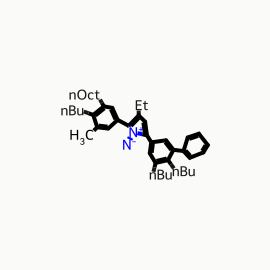 CCCCCCCCc1cc(C2=C(CC)C=C(c3cc(CCCC)c(CCCC)c(-c4ccccc4)c3)[N+]2=[N-])cc(C)c1CCCC